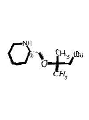 CC(C)(C)CC(C)(C)OC[C@@H]1CCCCN1